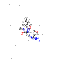 CCN(C(=O)c1cc2nc(N)c3c(c2[nH]1)COC3)[C@H]1COCc2cc(C(F)(F)F)ccc21